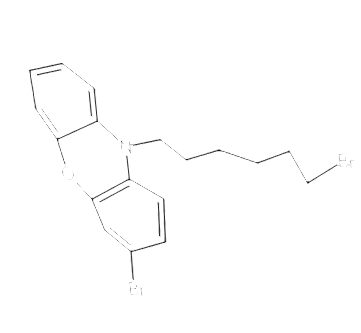 BrCCCCCCN1c2ccccc2Oc2cc(Br)ccc21